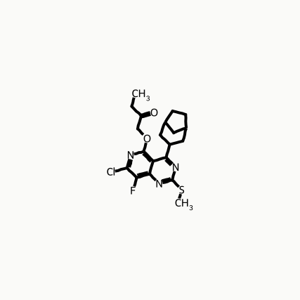 CCC(=O)COc1nc(Cl)c(F)c2nc(SC)nc(C3CC4CCC(C4)C3)c12